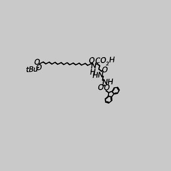 CC(C)(C)OC(=O)CCCCCCCCCCCCCCCCC(=O)NC(CCC(=O)NCCNC(=O)OCC1c2ccccc2-c2ccccc21)C(=O)O